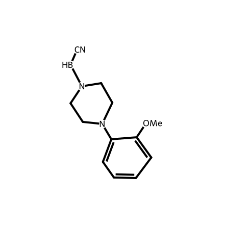 COc1ccccc1N1CCN(BC#N)CC1